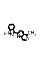 Cc1nccc2nc(-c3n[nH]c4ccccc34)ccc12